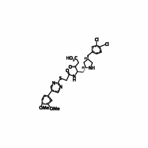 COc1ccc(-c2cnc(SCC(=O)NC(C[C@@H]3C[C@@H](Cc4ccc(Cl)c(Cl)c4)CN3)C(=O)CC(=O)O)nc2)cc1OC